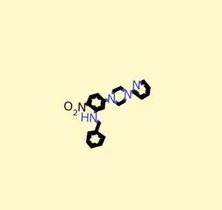 O=[N+]([O-])c1ccc(N2CCN(c3ccccn3)CC2)cc1NCc1ccccc1